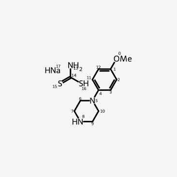 COc1ccc(N2CCNCC2)cc1.NC(=S)S.[NaH]